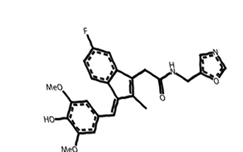 COc1cc(/C=C2/C(C)=C(CC(=O)NCc3cnco3)c3cc(F)ccc32)cc(OC)c1O